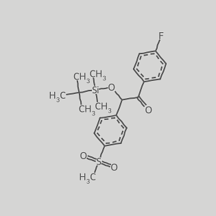 CC(C)(C)[Si](C)(C)OC(C(=O)c1ccc(F)cc1)c1ccc(S(C)(=O)=O)cc1